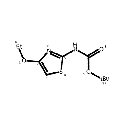 CCOc1csc(NC(=O)OC(C)(C)C)n1